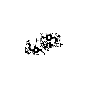 COCc1ncsc1-c1ccc([C@H](C)N(OC(=O)N[C@@H](C)c2ccc(-c3scnc3CO)cc2)C(=O)OC(C)(C)C)cc1